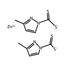 Cc1ccn(C(=S)[S-])n1.Cc1ccn(C(=S)[S-])n1.[Zn+2]